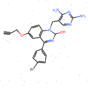 C#CCOc1ccc2c(c1)C(c1ccc(C(C)C)cc1)=NC(O)N2Cc1cnc(N)nc1N